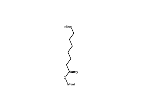 CC[CH]CCOC(=O)CCCCCCCCCCCCCCC